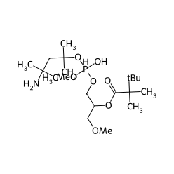 COCC(CO[PH](O)(OC)OC(C)(C)CC(C)(C)N)OC(=O)C(C)(C)C(C)(C)C